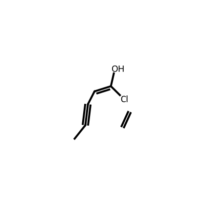 C=C.CC#CC=C(O)Cl